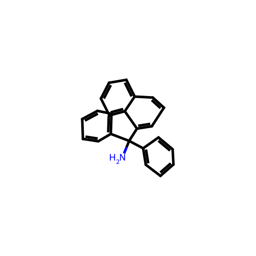 NC(c1ccccc1)(c1ccccc1)c1cccc2ccccc12